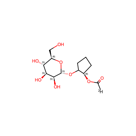 [2H]C(=O)O[C@@H]1CCCC1O[C@H]1O[C@H](CO)[C@@H](O)[C@H](O)[C@@H]1O